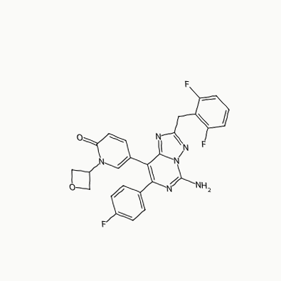 Nc1nc(-c2ccc(F)cc2)c(-c2ccc(=O)n(C3COC3)c2)c2nc(Cc3c(F)cccc3F)nn12